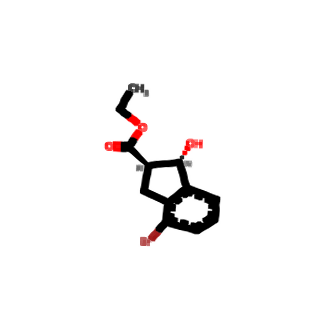 CCOC(=O)[C@@H]1Cc2c(Br)cccc2[C@H]1O